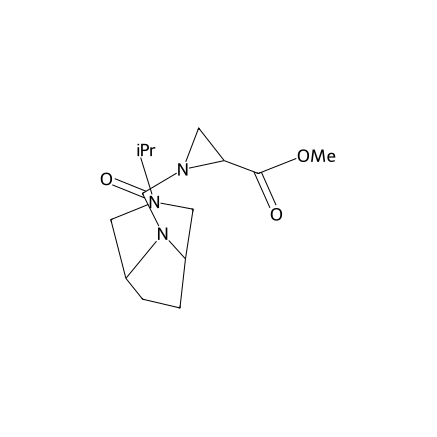 COC(=O)C1CN1C(=O)N1C2CCC1CN(C(C)C)C2